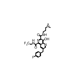 CN(C)CCCNC(=O)c1nc(C(=O)NCC(F)(F)F)c2cc(Cc3ccc(F)cc3)cnc2c1O